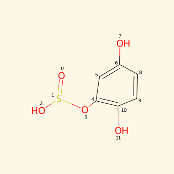 O=S(O)Oc1cc(O)ccc1O